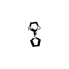 C1=C[SH](C2=NCCO2)C=C1